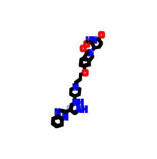 N=C/C(=C\NC1CCN(CCCOc2ccc3c(c2)CN(C2CCC(=O)NC2=O)C3=O)CC1)c1cnc2ccccc2n1